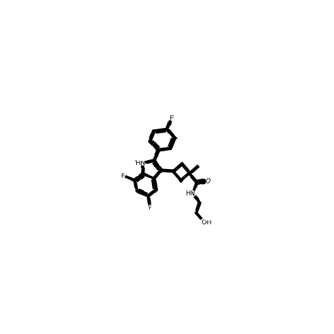 CC1(C(=O)NCCO)CC(c2c(-c3ccc(F)cc3)[nH]c3c(F)cc(F)cc23)C1